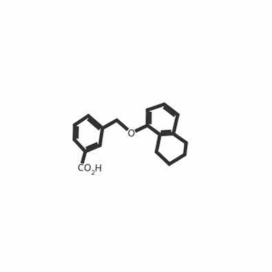 O=C(O)c1cccc(COc2cccc3c2CCCC3)c1